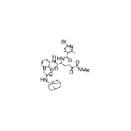 CNC(=O)C(=O)CC[C@H](NC(=O)c1sc(Br)nc1C)C(=O)Nc1cccn(CC(=O)NC2C3CC4CC(C3)CC2C4)c1=O